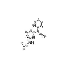 N#CC(c1ccccn1)c1ccnc(NC2CC2)n1